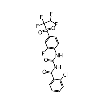 O=C(NC(=O)c1ccccc1Cl)Nc1ccc(S(=O)(=O)C(F)(F)C(F)F)cc1F